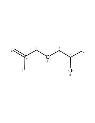 C=C(C)CO[CH]C(C)[O]